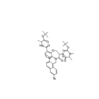 COc1ccc2cc(Br)ccc2c1CN1C(=O)C(NC(=O)C(C)N(C)C(=O)OC(C)(C)C)COc2c(C(=O)NC(C)C(=O)OC(C)(C)C)cccc21